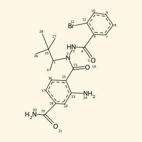 CC(N(NC(=O)c1ccccc1Br)C(=O)c1ccc(C(N)=O)cc1N)C(C)(C)C